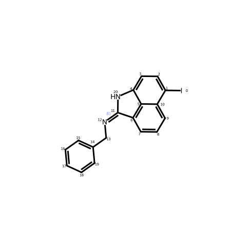 Ic1ccc2c3c(cccc13)/C(=N\Cc1ccccc1)N2